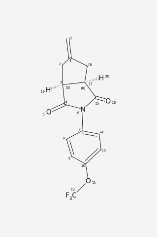 C=C1C[C@@H]2C(=O)N(c3ccc(OC(F)(F)F)cc3)C(=O)[C@@H]2C1